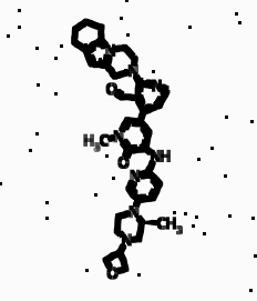 C[C@H]1CN(C2COC2)CCN1c1ccc(Nc2cc(-c3ccnc(N4CCn5c(cc6c5CCCC6)C4)c3C=O)cn(C)c2=O)nc1